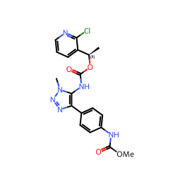 COC(=O)Nc1ccc(-c2nnn(C)c2NC(=O)O[C@H](C)c2cccnc2Cl)cc1